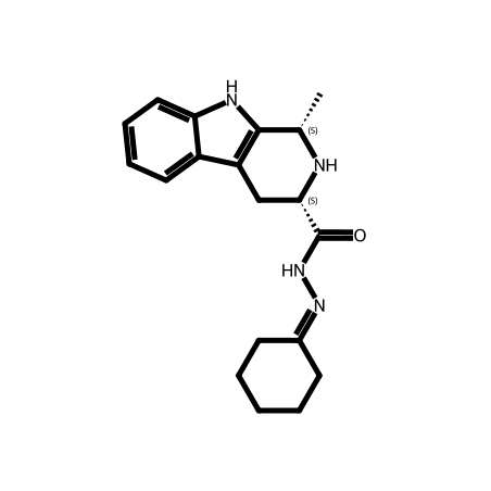 C[C@@H]1N[C@H](C(=O)NN=C2CCCCC2)Cc2c1[nH]c1ccccc21